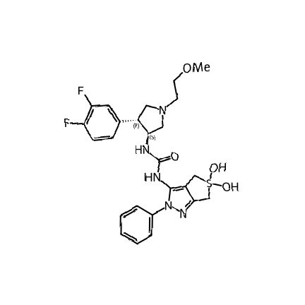 COCCN1C[C@@H](NC(=O)Nc2c3c(nn2-c2ccccc2)CS(O)(O)C3)[C@H](c2ccc(F)c(F)c2)C1